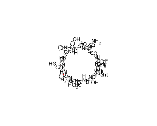 CCCCC[C@H]1C(=O)N2C[C@H](O)C[C@@H]2C(=O)N[C@@H](CC(=O)O)C(=O)N[C@@H](C(C)C)C(=O)N(C)[C@@H](Cc2ccccc2)C(=O)N[C@@H](Cc2ccc(O)cc2)C(=O)N2CCC[C@@H]2C(=O)N[C@@H](Cc2c[nH]c3ccccc23)C(=O)N[C@@H](Cc2ccc(O)cc2)C(=O)N[C@@H](CC(C)C)C(=O)N[C@H](C(=O)NCC(N)=O)CSCC(=O)N[C@@H](Cc2cc(F)c(F)c(F)c2)C(=O)N(C)[C@@H](Cc2ccccc2)C(=O)N1C